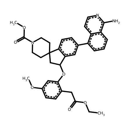 CCOC(=O)Cc1ccc(OC)cc1OC1CC2(CCN(C(=O)OC)CC2)c2ccc(-c3cccc4c(N)nccc34)cc21